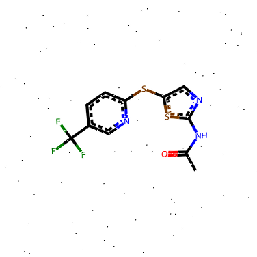 CC(=O)Nc1ncc(Sc2ccc(C(F)(F)F)cn2)s1